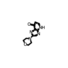 O=c1cc[nH]c2ncc(N3CCOCC3)nc12